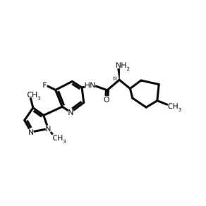 Cc1cnn(C)c1-c1ncc(NC(=O)[C@@H](N)C2CCC(C)CC2)cc1F